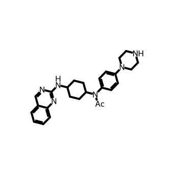 CC(=O)N(c1ccc(N2CCNCC2)cc1)C1CCC(Nc2ncc3ccccc3n2)CC1